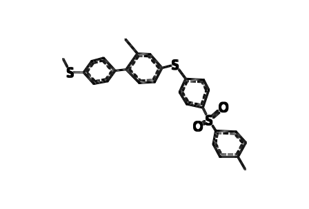 CSc1ccc(-c2ccc(Sc3ccc(S(=O)(=O)c4ccc(C)cc4)cc3)cc2C)cc1